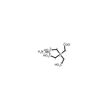 N.N.O=C([O-])C[N+](CC(=O)O)(CC(=O)O)CC(=O)O